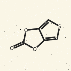 O=c1oc2cscc2o1